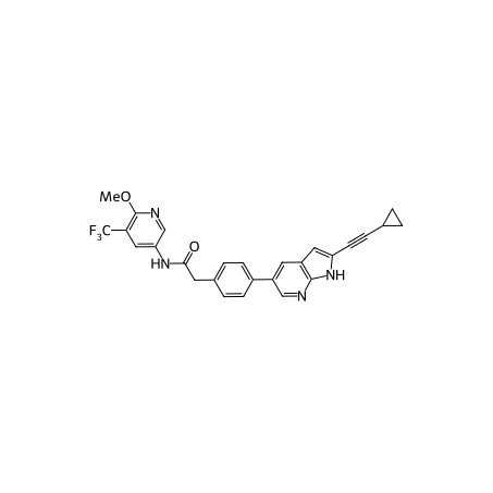 COc1ncc(NC(=O)Cc2ccc(-c3cnc4[nH]c(C#CC5CC5)cc4c3)cc2)cc1C(F)(F)F